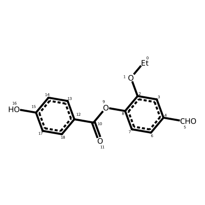 CCOc1cc(C=O)ccc1OC(=O)c1ccc(O)cc1